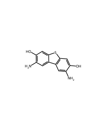 Nc1cc2c(cc1O)sc1cc(O)c(N)cc12